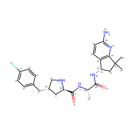 C[C@H](NC(=O)[C@H]1C[C@H](Cc2ccc(F)cc2)CN1)C(=O)N[C@H]1CC(C)(C)c2nc(N)ccc21